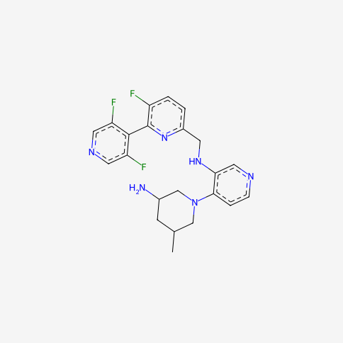 CC1CC(N)CN(c2ccncc2NCc2ccc(F)c(-c3c(F)cncc3F)n2)C1